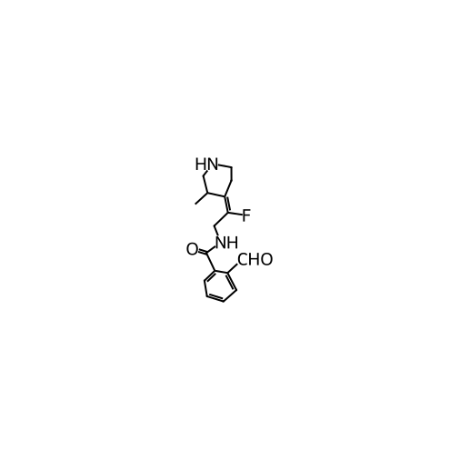 CC1CNCC/C1=C(\F)CNC(=O)c1ccccc1C=O